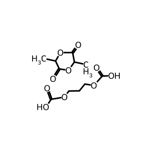 CC1OC(=O)C(C)OC1=O.O=C(O)OCCCOC(=O)O